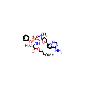 COCCCOC(=O)[C@H](C)NP(=O)(OC[C@]1(N(C)C)CC[C@H](c2ccc3c(N)ncnn23)O1)Oc1ccccc1